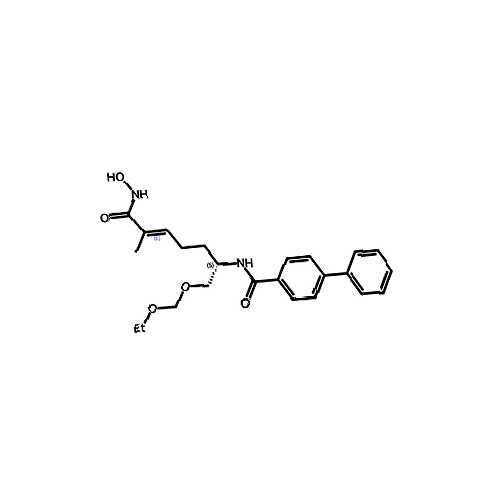 CCOCOC[C@H](CC/C=C(\C)C(=O)NO)NC(=O)c1ccc(-c2ccccc2)cc1